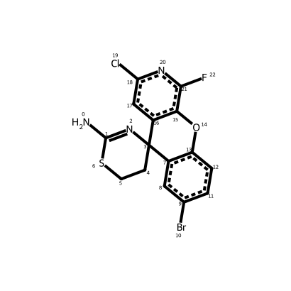 NC1=NC2(CCS1)c1cc(Br)ccc1Oc1c2cc(Cl)nc1F